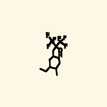 CCC1CC(CC(O)(C(F)(F)F)C(F)(F)F)CCC1C